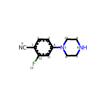 N#Cc1ccc(N2CCNCC2)cc1F